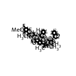 COc1c(F)cc(F)c(-c2c(C)nn3c(N4CCOC(c5ccc(-c6c(C)nn7c(N(C)C)c(C(=O)N[C@H]8CCOc9ccccc98)cnc67)c(Cl)c5Cl)C4)c(C(=O)N[C@H]4CCOc5ccccc54)cnc23)c1F